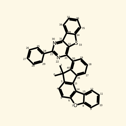 CC1(C)c2ccc3oc4ccccc4c3c2-c2cccc(-c3nc(-c4ccccc4)nc4c3sc3ccccc34)c21